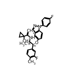 C=C(N[C@@H](C)[C@H](Oc1ccc2c(cnn2-c2ccc(F)cc2)c1)c1ccc(C)c(F)c1)C1(C)CC1